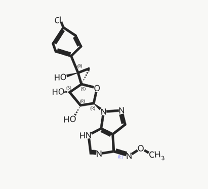 CO/N=c1/nc[nH]c2c1cnn2[C@@H]1O[C@@]2(C[C@@]2(O)c2ccc(Cl)cc2)[C@@H](O)[C@H]1O